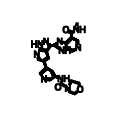 CNC(=O)c1cncc2[nH]c(-c3n[nH]c4ncc(-c5cncc(NC(=O)N6CCOCC6)c5)cc34)nc12